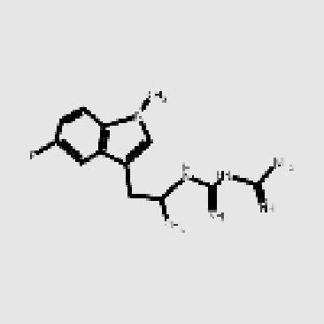 CC(Cc1cn(C)c2ccc(F)cc12)NC(=N)NC(=N)N